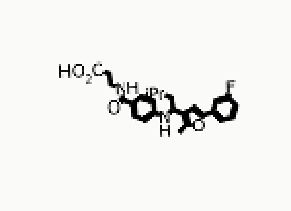 Cc1oc(-c2cccc(F)c2)cc1C(CC(C)C)Nc1ccc(C(=O)NCCC(=O)O)cc1